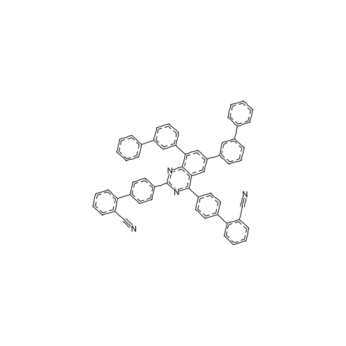 N#Cc1ccccc1-c1ccc(-c2nc(-c3ccc(-c4ccccc4C#N)cc3)c3cc(-c4cccc(-c5ccccc5)c4)cc(-c4cccc(-c5ccccc5)c4)c3n2)cc1